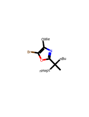 CCCCCCCC(C)(CCCC)c1nc(OC)c(Br)o1